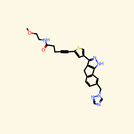 COCCNC(=O)CCC#Cc1cc(-c2n[nH]c3c2Cc2ccc(Cn4cncn4)cc2-3)cs1